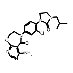 CC(C)CN1CCN(c2ccc(N3CCOc4ncnc(N)c4C3=O)cc2Cl)C1=O